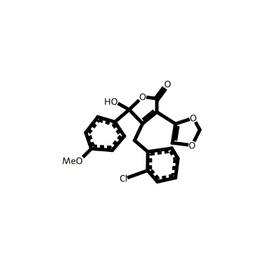 COc1ccc(C2(O)OC(=O)C(C3=COCO3)=C2Cc2ccccc2Cl)cc1